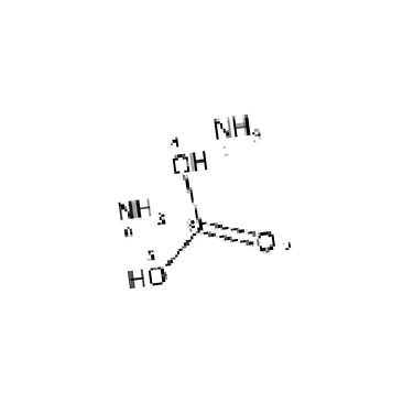 N.N.O=C(O)O